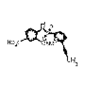 CC#Cc1ccc(S(=O)(=O)Nc2ccc(C(=O)O)cc2OC)s1